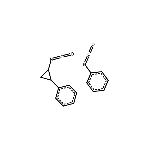 O=C=NC1CC1c1ccccc1.O=C=Nc1ccccc1